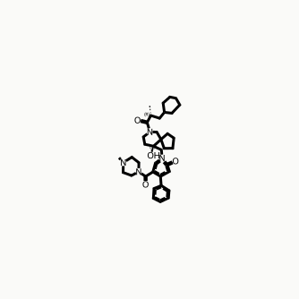 C[C@H](CC1CCCCC1)C(=O)N1CC[C@@](O)(Cn2cc(C(=O)N3CCN(C)CC3)c(-c3ccccc3)cc2=O)C2(CCCC2)C1